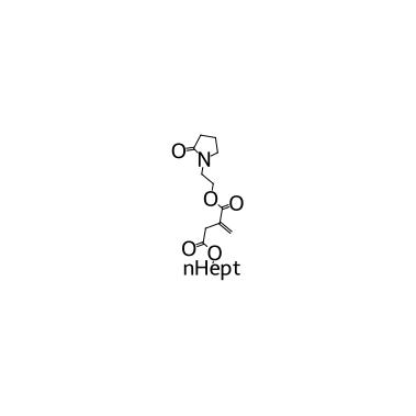 C=C(CC(=O)OCCCCCCC)C(=O)OCCN1CCCC1=O